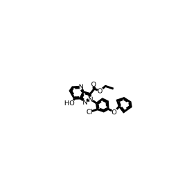 CCOC(=O)c1c2nccc(O)c2nn1-c1ccc(Oc2ccccc2)cc1Cl